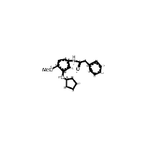 COc1ccc(NC(=O)Cc2ccccc2)cc1OC1CCCC1